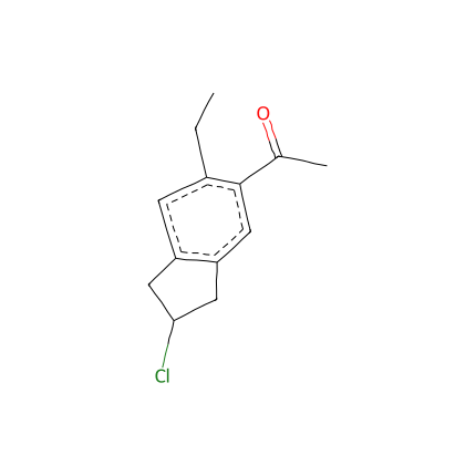 CCc1cc2c(cc1C(C)=O)CC(Cl)C2